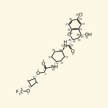 O=C(CO[C@H]1C[C@@H](OC(F)(F)F)C1)N[C@H]1CC[C@H](NC(=O)[C@H]2C[C@@H](O)c3cc(Cl)ccc3O2)CC1